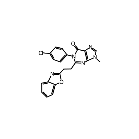 Cn1cnc2c(=O)n(-c3ccc(Cl)cc3)c(CCc3nc4ccccc4o3)nc21